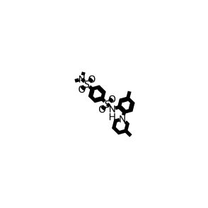 Cc1ccc(N2CCCC(C)C2)c(NS(=O)(=O)c2ccc(S(=O)(=O)N(C)C)cc2)c1